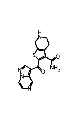 NC(=O)c1c(C(=O)c2cnn3ccncc23)sc2c1CCNC2